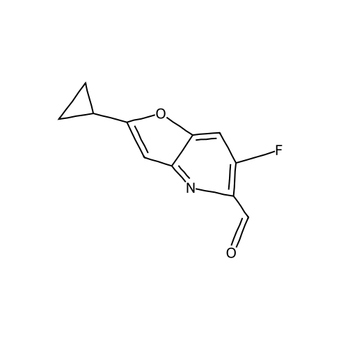 O=Cc1nc2cc(C3CC3)oc2cc1F